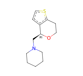 c1cc2c(s1)CCO[C@H]2CN1CCCCC1